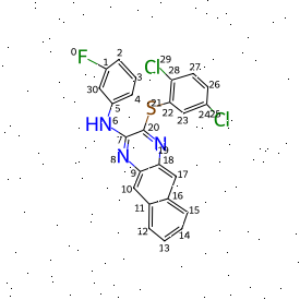 Fc1cccc(Nc2nc3cc4ccccc4cc3nc2Sc2cc(Cl)ccc2Cl)c1